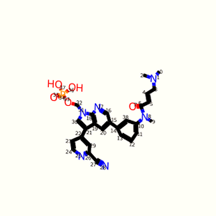 CN(C)CC=CC(=O)N(C)c1cccc(-c2cnc3c(c2)c(-c2ccnc(C#N)c2)cn3COP(=O)(O)O)c1